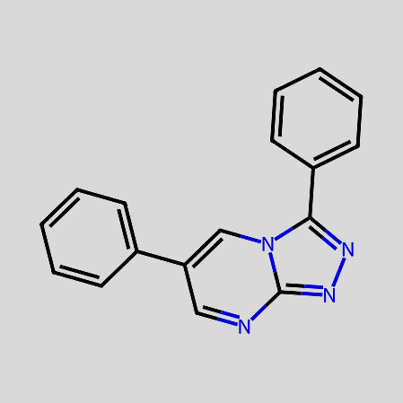 c1ccc(-c2cnc3nnc(-c4ccccc4)n3c2)cc1